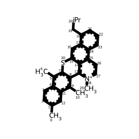 Cc1ccc2c(C)c3c(c(C)c2c1)-c1c2c(cc4c(CC(C)C)cccc4c2cc[n+]1C)S3